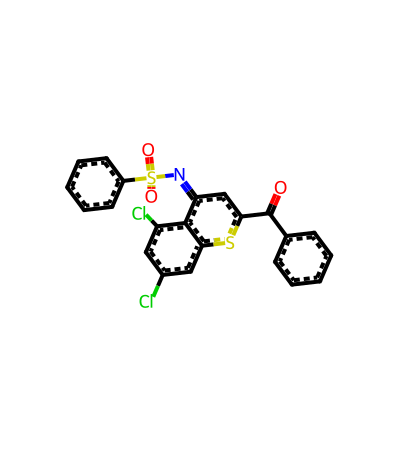 O=C(c1ccccc1)c1c/c(=N/S(=O)(=O)c2ccccc2)c2c(Cl)cc(Cl)cc2s1